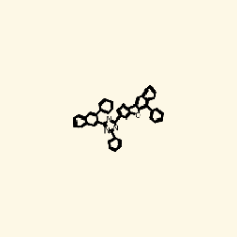 c1ccc(-c2nc(-c3ccc4c(c3)oc3c(-c5ccccc5)c5ccccc5cc34)nc(-c3cc4ccccc4cc3-c3ccccc3)n2)cc1